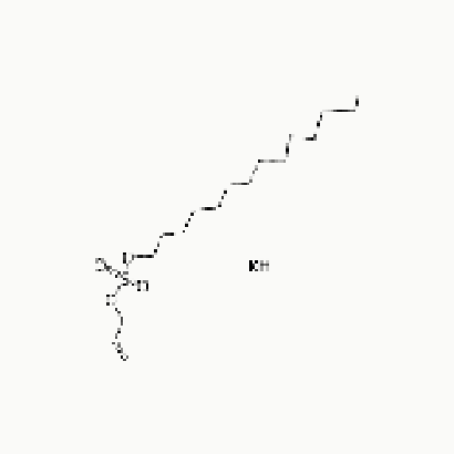 C=CCOS(=O)(=O)OCCCCCCCCCCCCCC.[KH]